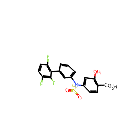 O=C(O)c1ccc(N(c2cccc(-c3c(F)ccc(F)c3F)c2)[SH](=O)=O)cc1O